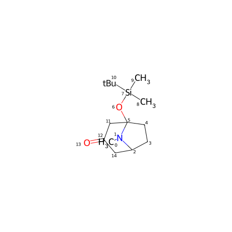 CN1C2CCC1(O[Si](C)(C)C(C)(C)C)CC(=O)C2